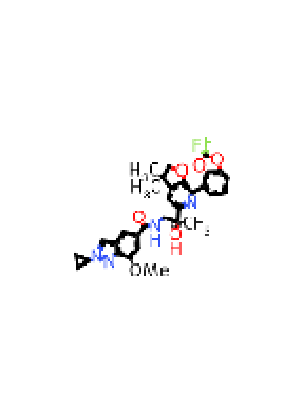 COc1cc(C(=O)NC[C@](O)(c2cc3c(c(-c4cccc5c4OC(F)(F)O5)n2)OCC3(C)C)C(F)(F)F)cc2cn(C3CC3)nc12